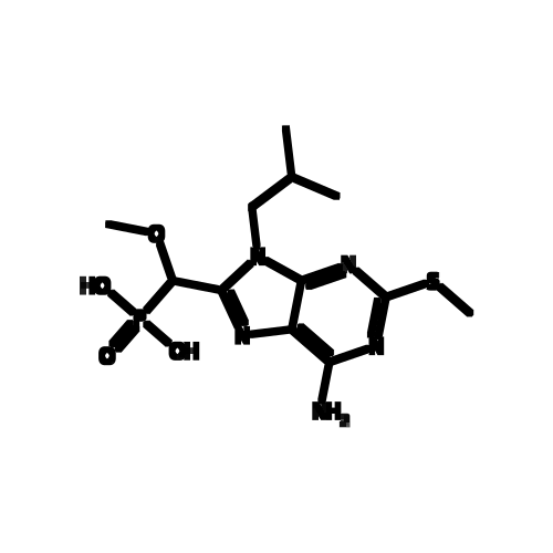 COC(c1nc2c(N)nc(SC)nc2n1CC(C)C)P(=O)(O)O